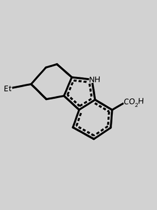 CCC1CCc2[nH]c3c(C(=O)O)cccc3c2C1